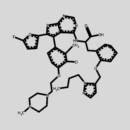 CCCCn1nccc1COc1ccccc1CC(Nc1ncnc2sc(-c3ccc(F)o3)c(-c3ccc(OCCN4CCN(C)CC4)c(Cl)c3C)c12)C(=O)O